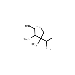 CC(C(F)(F)F)C(CC(C)(C)C)(C(=O)O)C(CC(C)(C)C)C(=O)O